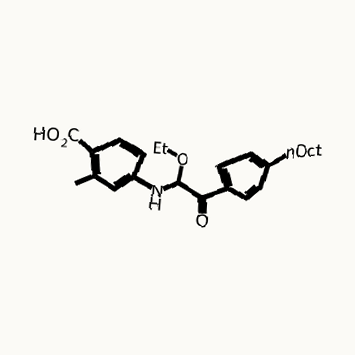 CCCCCCCCc1ccc(C(=O)C(Nc2ccc(C(=O)O)c(C)c2)OCC)cc1